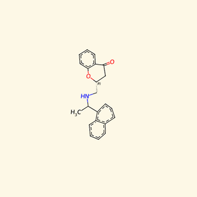 CC(NC[C@H]1CC(=O)c2ccccc2O1)c1cccc2ccccc12